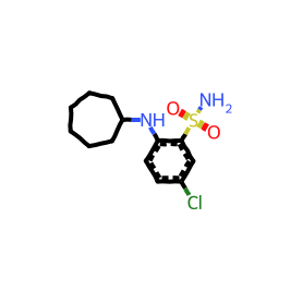 NS(=O)(=O)c1cc(Cl)ccc1NC1CCCCCC1